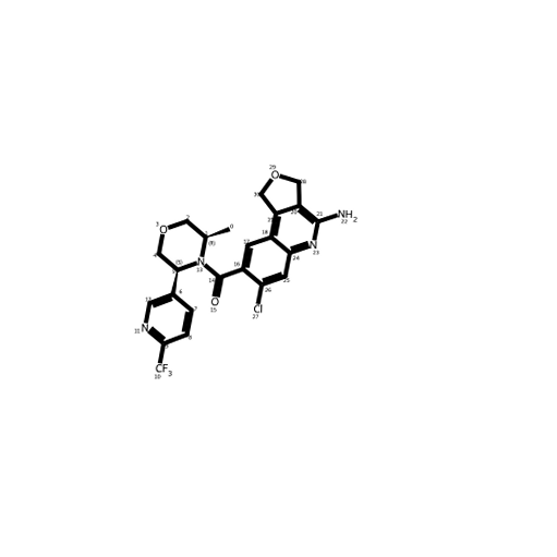 C[C@@H]1COC[C@H](c2ccc(C(F)(F)F)nc2)N1C(=O)c1cc2c3c(c(N)nc2cc1Cl)COC3